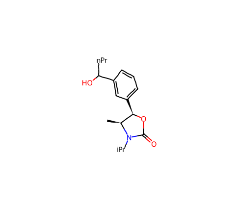 CCCC(O)c1cccc([C@H]2OC(=O)N(C(C)C)[C@H]2C)c1